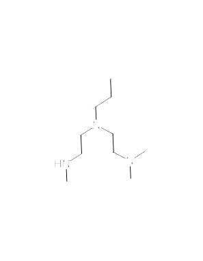 CCCN(CCNC)CCN(C)C